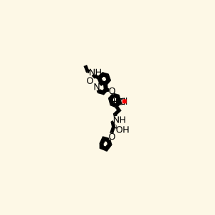 CCNC(=O)c1cccc2c(Oc3ccc(CCNC[C@H](O)COc4ccccc4)cc3)ccnc12.Cl.Cl